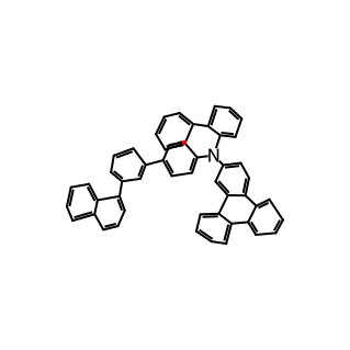 c1ccc(-c2ccccc2N(c2ccc(-c3cccc(-c4cccc5ccccc45)c3)cc2)c2ccc3c4ccccc4c4ccccc4c3c2)cc1